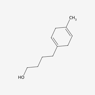 CC1=CCC(CCCCO)=CC1